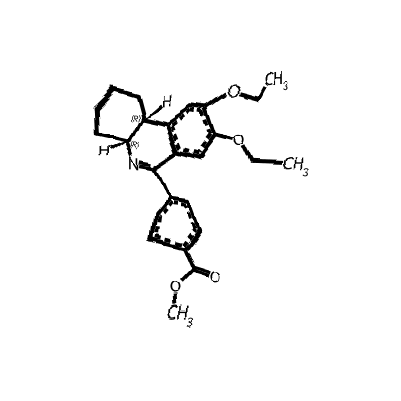 CCOc1cc2c(cc1OCC)[C@H]1CCCC[C@H]1N=C2c1ccc(C(=O)OC)cc1